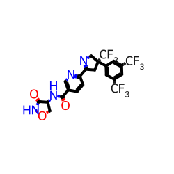 O=C(NC1CONC1=O)c1ccc(C2=NCC(c3cc(C(F)(F)F)cc(C(F)(F)F)c3)(C(F)(F)F)C2)nc1